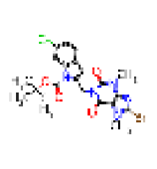 Cn1c(Br)nc2c1c(=O)n(Cc1cc3ccc(Cl)cc3n1C(=O)OC(C)(C)C)c(=O)n2C